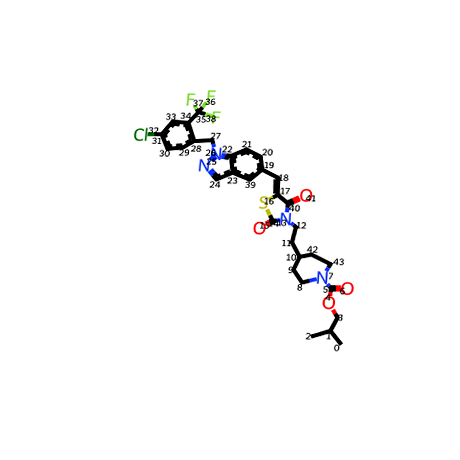 CC(C)COC(=O)N1CCC(CCN2C(=O)SC(=Cc3ccc4c(cnn4Cc4ccc(Cl)cc4C(F)(F)F)c3)C2=O)CC1